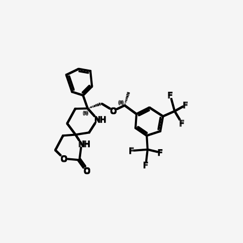 C[C@@H](OC[C@@]1(c2ccccc2)CCC2(CCOC(=O)N2)CN1)c1cc(C(F)(F)F)cc(C(F)(F)F)c1